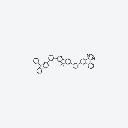 CC1(C)c2cc(-c3cccc(-c4ccc5c(c4)c4ccccc4c4nccnc54)c3)ccc2-c2ccc(-c3cccc(-c4ccc5c6ccccc6n(-c6ccccc6)c5c4)c3)cc21